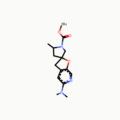 CC1CC2(Cc3cc(N(C)C)ncc3O2)CN1C(=O)OC(C)(C)C